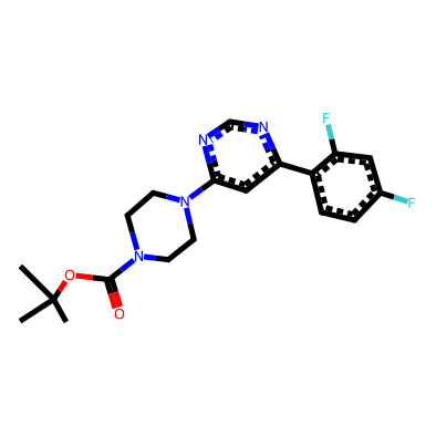 CC(C)(C)OC(=O)N1CCN(c2cc(-c3ccc(F)cc3F)ncn2)CC1